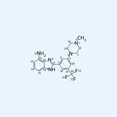 CN1CCN(c2cc(-c3nc4c(N)cccc4[nH]3)cc(C(F)(F)F)c2)CC1